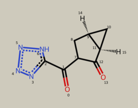 O=C(c1nnn[nH]1)C1C[C@H]2C[C@H]2C1=O